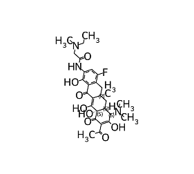 CCN(C)CC(=O)Nc1cc(F)c2c(c1O)C(=O)C1=C(O)[C@]3(O)C(=O)C(C(C)=O)=C(O)[C@@H](N(C)C)[C@@H]3C[C@]1(C)C2